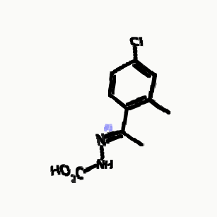 C/C(=N\NC(=O)O)c1ccc(Cl)cc1C